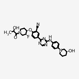 CC(O)C(=O)N1CC[C@H](Oc2ccc(-c3ncnc(Nc4ccc(N5CCC[C@@H](O)C5)cc4)n3)cc2C#N)[C@H](F)C1